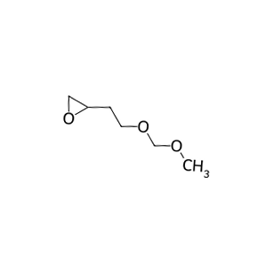 COCOCCC1CO1